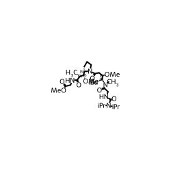 CC[C@H](C)[C@@H]([C@@H](CC(=O)N1CCC[C@H]1[C@H](OC)[C@@H](C)C(=O)NCC(=O)OC)OC)N(C)C(=O)CNC(=O)N(C(C)C)C(C)C